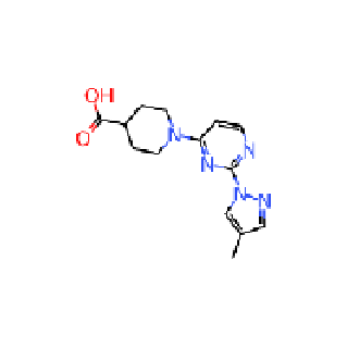 Cc1cnn(-c2nccc(N3CCC(C(=O)O)CC3)n2)c1